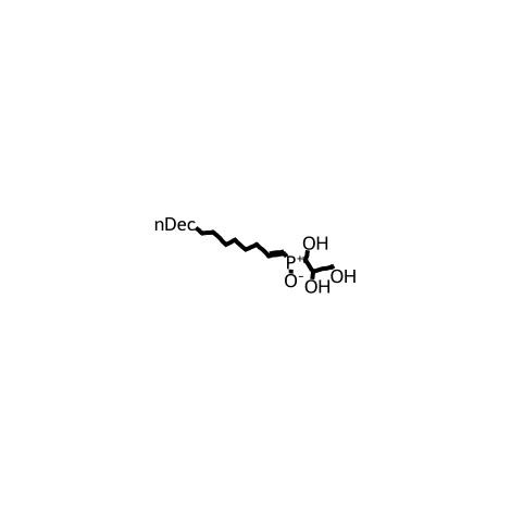 CCCCCCCCCCCCCCCCC=C/[P+]([O-])=C(\O)C(O)CO